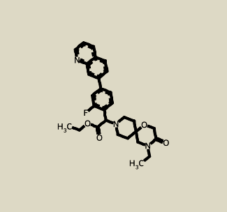 CCOC(=O)C(c1ccc(-c2ccc3cccnc3c2)cc1F)N1CCC2(CC1)CN(CC)C(=O)CO2